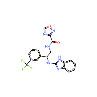 O=C(NCC(Nc1nc2ccccc2[nH]1)c1cccc(C(F)(F)F)c1)c1ncon1